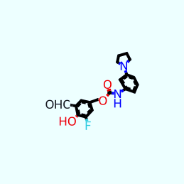 O=Cc1cc(COC(=O)Nc2cccc(N3CCCC3)c2)cc(F)c1O